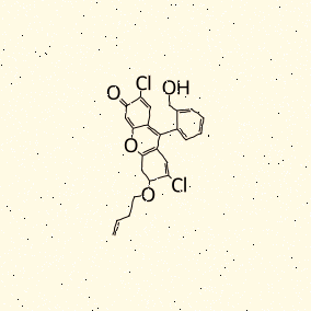 C=CCCOC1Cc2oc3cc(=O)c(Cl)cc-3c(-c3ccccc3CO)c2C=C1Cl